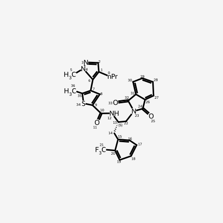 CCCc1cnn(C)c1-c1cc(C(=O)N[C@@H](Cc2ccccc2C(F)(F)F)CN2C(=O)c3ccccc3C2=O)sc1C